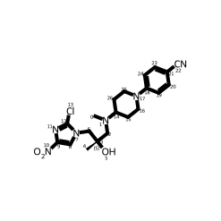 CN(C[C@](C)(O)Cn1cc([N+](=O)[O-])nc1Cl)C1CCN(c2ccc(C#N)cc2)CC1